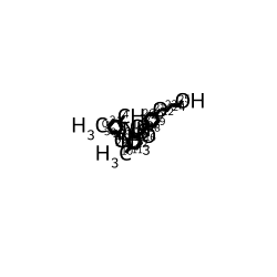 Cc1cc(C)c(Nc2nc(C)ccc2S(=O)(=O)c2ccc(OCCCO)cc2)c(C)c1